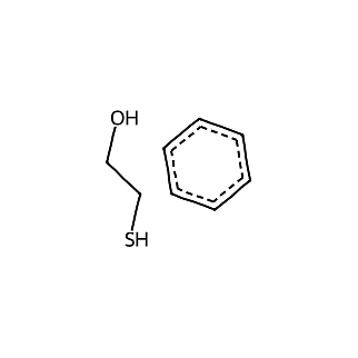 OCCS.c1ccccc1